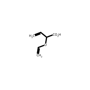 C=COC(C=C)C(=O)O